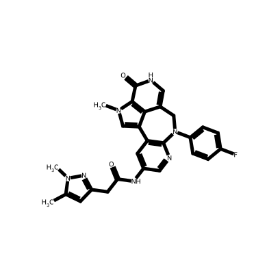 Cc1cc(CC(=O)Nc2cnc3c(c2)-c2cn(C)c4c(=O)[nH]cc(c24)CN3c2ccc(F)cc2)nn1C